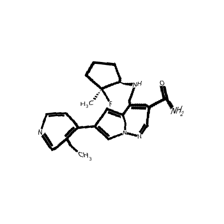 Cc1cnccc1-c1cc2c(N[C@@H]3CCC[C@]3(C)F)c(C(N)=O)cnn2c1